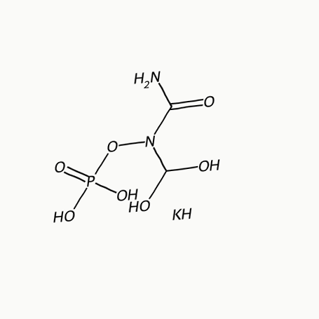 NC(=O)N(OP(=O)(O)O)C(O)O.[KH]